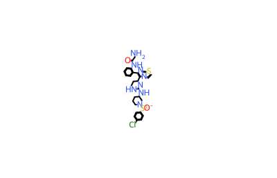 NCC(=O)Nc1ccccc1-c1nc2sccn2c1C1CCNC(NC2CCCN([S+]([O-])c3ccc(Cl)cc3)C2)=N1